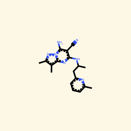 Cc1cccc(CC(C)Nc2nc3c(C)c(C)nn3c(N)c2C#N)n1